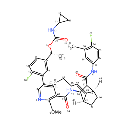 COc1ncc(-c2cc([C@H](OC(=O)NC3CC3)C(F)(F)F)ccc2F)cc1C(=O)N[C@H]1[C@@H](C(=O)Nc2ccc(F)c(C(F)(F)F)c2)[C@H]2CC[C@@H]1/C2=C\CCC(F)(F)F